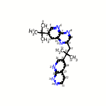 CC(C)(C)c1cnc2ncc(CC(C)(C)c3cnc4nnccc4c3)nc2c1